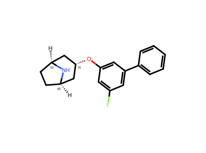 Fc1cc(O[C@@H]2C[C@H]3CC[C@@H](C2)N3)cc(-c2ccccc2)c1